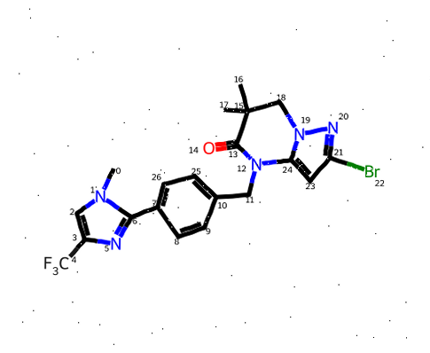 Cn1cc(C(F)(F)F)nc1-c1ccc(CN2C(=O)C(C)(C)Cn3nc(Br)cc32)cc1